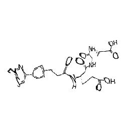 NC(=O)[C@H](CCC(=O)O)NC(=O)[C@H](CCC(=O)O)NC(=O)CCc1ccc(-c2csnn2)cc1